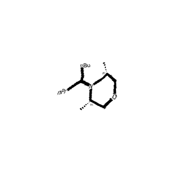 CCCCC(CCC)N1[C@H](C)COC[C@@H]1C